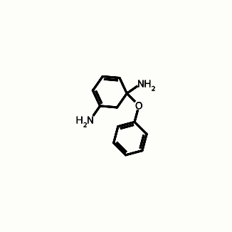 NC1=CC=CC(N)(Oc2ccccc2)C1